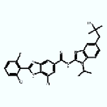 CC(C)n1c(NC(=O)c2cc(Cl)c3[nH]c(-c4c(F)cccc4Cl)nc3c2)nc2cc(CC(C)(C)O)ccc21